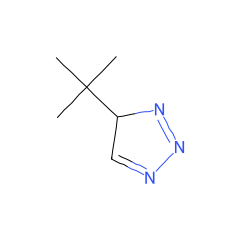 CC(C)(C)C1C=NN=N1